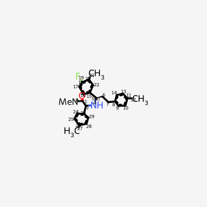 CNC(=O)C(N[C@H](CCc1ccc(C)cc1)c1ccc(F)c(C)c1)c1ccc(C)cc1